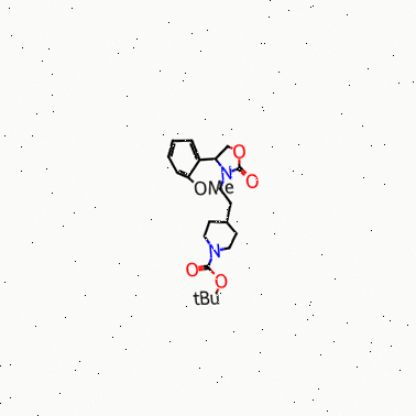 COc1ccccc1C1COC(=O)N1CCC1CCN(C(=O)OC(C)(C)C)CC1